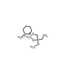 CC[Si](OC)(OC)OC.N[SiH]1CCCCC1